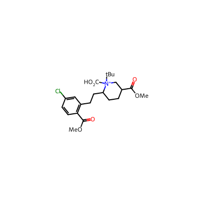 COC(=O)c1ccc(Cl)cc1CCC1CCC(C(=O)OC)C[N+]1(C(=O)O)C(C)(C)C